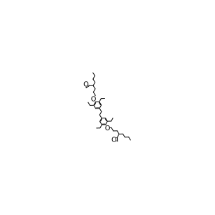 CCCCC(CCCOc1c(CC)cc(CCc2cc(CC)c(OCCCC(CCCC)C3CO3)c(CC)c2)cc1CC)C1CO1